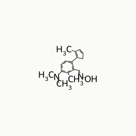 CC1=C(c2ccc(N(C)C)c(C)c2C=NO)CC=C1